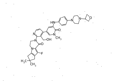 Cn1cc(-c2ccnc(N3CCn4c5c(c(F)c4C3=O)CC(C)(C)C5)c2CO)cc(Nc2ccc(N3CCN(C4COC4)CC3)cc2)c1=O